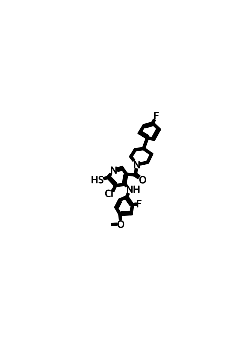 COc1ccc(Nc2c(C(=O)N3CCC(c4ccc(F)cc4)CC3)cnc(S)c2Cl)c(F)c1